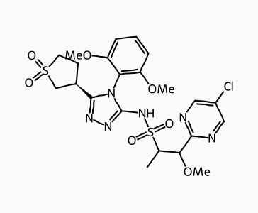 COc1cccc(OC)c1-n1c(NS(=O)(=O)C(C)C(OC)c2ncc(Cl)cn2)nnc1[C@@H]1CCS(=O)(=O)C1